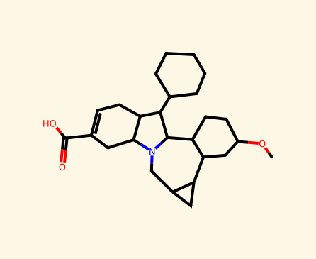 COC1CCC2C(C1)C1CC1CN1C3CC(C(=O)O)=CCC3C(C3CCCCC3)C21